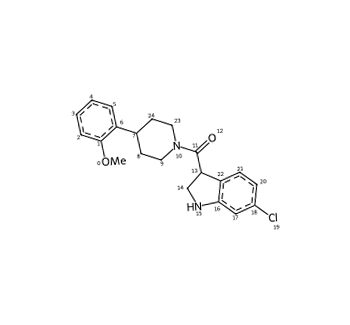 COc1ccccc1C1CCN(C(=O)C2CNc3cc(Cl)ccc32)CC1